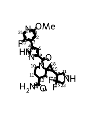 COc1cc(-c2cc(C(=O)N3CCC(C(N)=O)CC34CC4C3CNCC3(F)F)n[nH]2)c(F)cn1